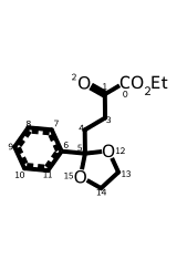 CCOC(=O)C(=O)CCC1(c2ccccc2)OCCO1